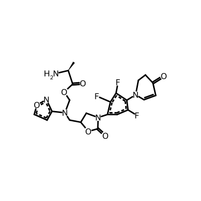 C[C@H](N)C(=O)OCN(CC1CN(c2cc(F)c(N3C=CC(=O)CC3)c(F)c2F)C(=O)O1)c1ccon1